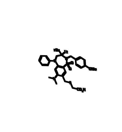 CCCCC1(CC)CN(c2ccccc2)c2cc(N(C)C)c(CSCC(=O)O)cc2S(=O)(=O)N1Cc1ccc(OC)cc1